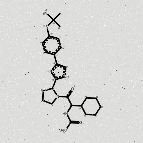 COC(=O)NC(C(=O)N1CCCC1c1nc(-c2ccc(SC(C)(C)C(C)C)cc2)c[nH]1)C1CCCCC1